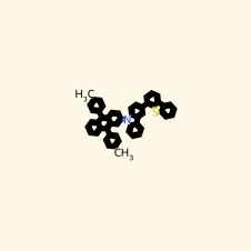 Cc1ccc(-c2c3ccccc3c(-c3ccc(C)cc3)c3cc(-n4c5ccccc5c5cc(-c6cccc7c6sc6ccccc67)ccc54)ccc23)cc1